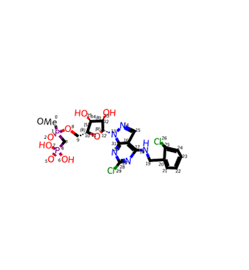 COP(=O)(CP(=O)(O)O)OC[C@H]1O[C@@H](n2ncc3c(NCc4ccccc4Cl)nc(Cl)nc32)[C@H](O)[C@@H]1O